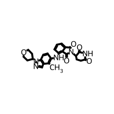 Cc1c(Nc2cccc3c2C(=O)N(C2CCC(=O)NC2=O)C3=O)ccc2c1cnn2C1CCOCC1